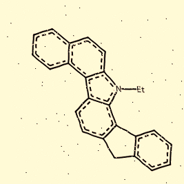 CCn1c2ccc3ccccc3c2c2ccc3c(c21)-c1ccccc1C3